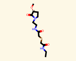 CCNC(=O)CSCC(=O)NCCN1CC[C@@H](OC)C1=O